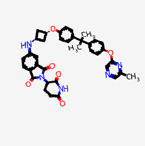 Cc1cncc(Oc2ccc(C(C)(C)c3ccc(O[C@H]4C[C@@H](Nc5ccc6c(c5)C(=O)N(C5CCC(=O)NC5=O)C6=O)C4)cc3)cc2)n1